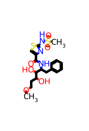 COCCC(O)C(O)C(Cc1ccccc1)NC(=O)c1csc(NS(C)(=O)=O)n1